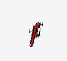 CC[C@@]1(O)C(=O)OCc2c1cc1n(c2=O)Cc2cc3c4c(c(F)cc3nc2-1)OCN(CCOC(=O)NCCNC(=O)CCCNC(=O)[C@H](CCC(=O)NCCOCCOCCOCCOCCOCCOCCOCCOC)NC(=O)CCCN1C(=O)C=CC1=O)C4